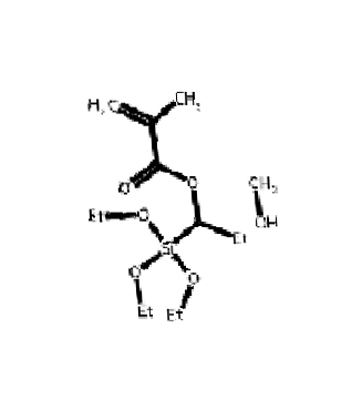 C=C(C)C(=O)OC(CC)[Si](OCC)(OCC)OCC.CO